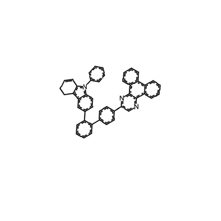 C1=Cc2c(c3cc(-c4ccccc4-c4ccc(-c5cnc6c7ccccc7c7ccccc7c6n5)cc4)ccc3n2-c2ccccc2)CC1